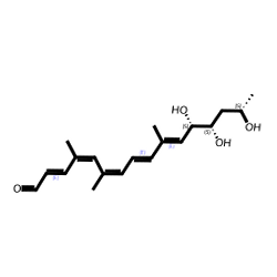 CC(=C/C=C/C(C)=C/[C@H](O)[C@@H](O)C[C@H](C)O)C=C(C)/C=C/C=O